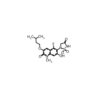 CC(C)CCOc1cc2c(F)c(N3CC(=O)NS3(=O)=O)c(O)cc2n(C)c1=O